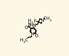 CCCn1cc(C(N)=O)c(NCC2(F)CN(C)C2)cc1=O